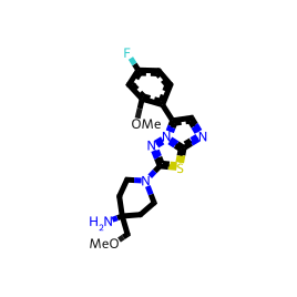 COCC1(N)CCN(c2nn3c(-c4ccc(F)cc4OC)cnc3s2)CC1